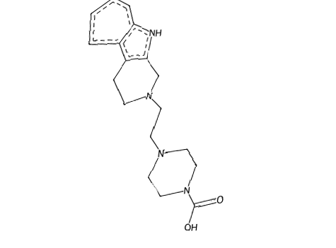 O=C(O)N1CCN(CCN2CCc3c([nH]c4ccccc34)C2)CC1